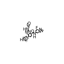 C[C@@H]1CN(c2ccc(C(=O)Nc3cc(F)c4nn(C)cc4c3)c3nc(NC[C@H]4CCOC4)ncc23)C[C@H](C)N1